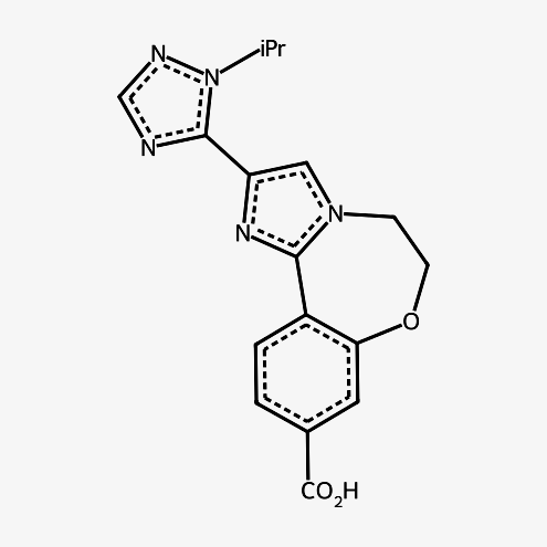 CC(C)n1ncnc1-c1cn2c(n1)-c1ccc(C(=O)O)cc1OCC2